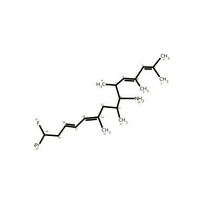 CC(C)=C/C(C)=C/C(C)C(N)C(C)C/C(C)=C/C=C/CC(F)C(C)C